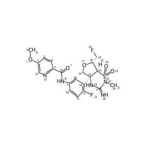 COc1ccc(C(=O)Nc2ccc(F)c([C@]34CO[C@H](CF)[C@H]3S(=O)(=O)N(C)C(=N)N4)c2)nc1